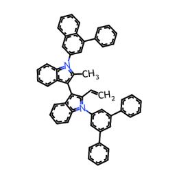 C=Cc1c(-c2c(C)n(-c3cc(-c4ccccc4)c4ccccc4c3)c3ccccc23)c2ccccc2n1-c1cc(-c2ccccc2)cc(-c2ccccc2)c1